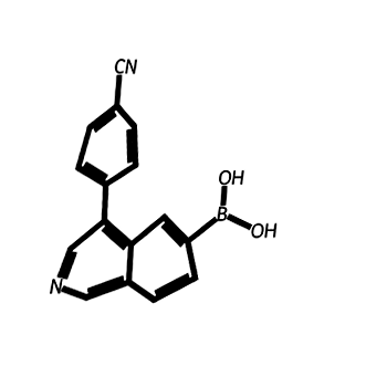 N#Cc1ccc(-c2cncc3ccc(B(O)O)cc23)cc1